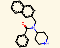 O=C(c1ccccc1)N(Cc1[c]cc2ccccc2c1)C1CCNCC1